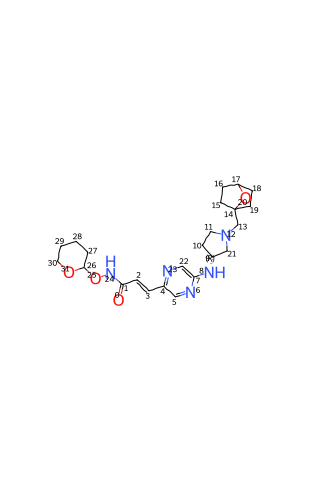 O=C(C=Cc1cnc(N[C@@H]2CCN(CC34CCC(CC3)O4)C2)cn1)NOC1CCCCO1